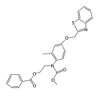 COC(=O)N(CCOC(=O)c1ccccc1)c1ccc(OCc2nc3ccccc3s2)cc1C